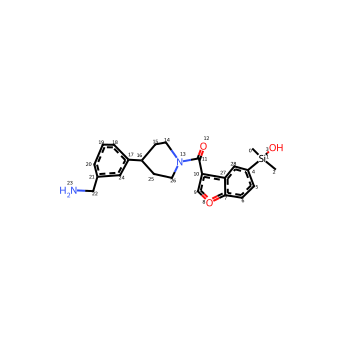 C[Si](C)(O)c1ccc2occ(C(=O)N3CCC(c4cccc(CN)c4)CC3)c2c1